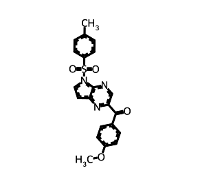 COc1ccc(C(=O)c2cnc3c(ccn3S(=O)(=O)c3ccc(C)cc3)n2)cc1